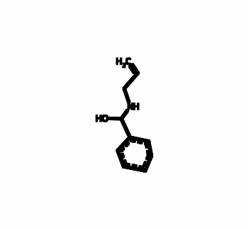 C=CCNC(O)c1ccccc1